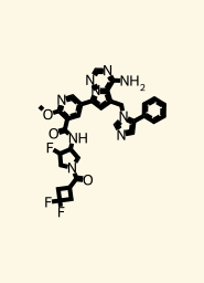 COc1ncc(-c2cc(Cn3cncc3-c3ccccc3)c3c(N)ncnn23)cc1C(=O)NC1CN(C(=O)C2CC(F)(F)C2)CC1F